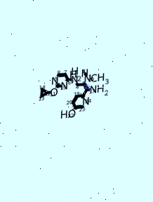 CN(N)/C(CNc1ccnc(OC2CC2)n1)=C(\N)c1ccc(O)cn1